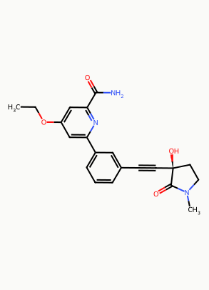 CCOc1cc(C(N)=O)nc(-c2cccc(C#C[C@]3(O)CCN(C)C3=O)c2)c1